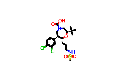 CC(C)(C)[C@H]1CN(C(=O)O)C[C@H](c2ccc(Cl)c(Cl)c2)[C@@H](CCCNS(C)(=O)=O)O1